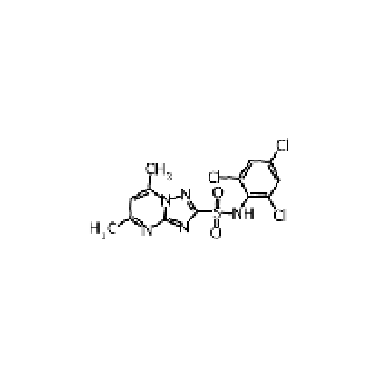 Cc1cc(C)n2nc(S(=O)(=O)Nc3c(Cl)cc(Cl)cc3Cl)nc2n1